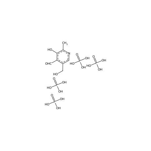 Cc1ncc(CO)c(C=O)c1O.O=P(O)(O)O.O=P(O)(O)O.O=P(O)(O)O.O=P(O)(O)O